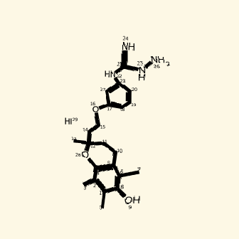 Cc1c(C)c2c(c(C)c1O)CCC(C)(CCOc1cccc(NC(=N)NN)c1)O2.I